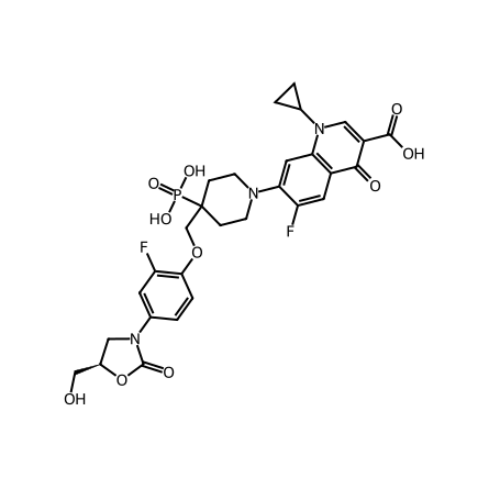 O=C(O)c1cn(C2CC2)c2cc(N3CCC(COc4ccc(N5C[C@H](CO)OC5=O)cc4F)(P(=O)(O)O)CC3)c(F)cc2c1=O